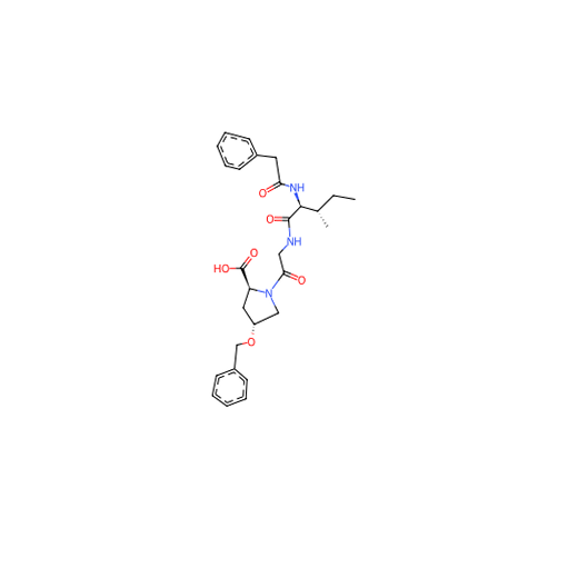 CC[C@H](C)[C@H](NC(=O)Cc1ccccc1)C(=O)NCC(=O)N1C[C@H](OCc2ccccc2)C[C@H]1C(=O)O